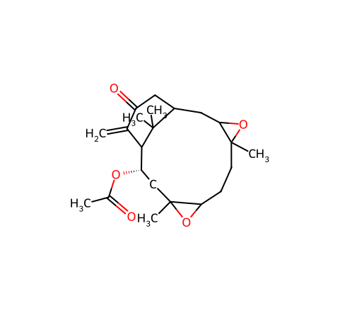 C=C1C(=O)CC2CC3OC3(C)CCC3OC3(C)C[C@H](OC(C)=O)C1C2(C)C